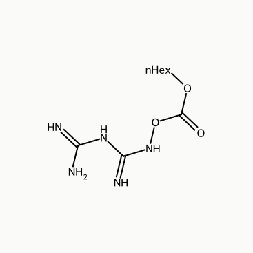 CCCCCCOC(=O)ONC(=N)NC(=N)N